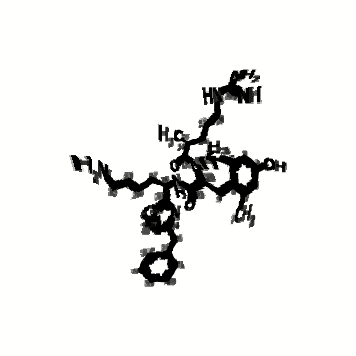 Cc1cc(O)cc(C)c1C[C@H](NC(=O)[C@H](C)CCCNC(=N)N)C(=O)N[C@H](CCCCN)c1nc(Cc2ccccc2)no1